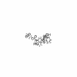 CS(=O)(=O)CCOC(=O)N[C@H]1CCN(S(=O)(=O)c2ccccc2[N+](=O)O)C[C@@H]1C(=O)O